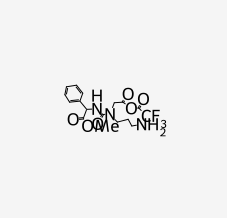 COC(=O)C(NC(=O)N(CCCN)CC(=O)OC(=O)C(F)(F)F)c1ccccc1